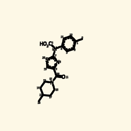 Cc1ccc(N(C(=O)O)c2nc(C(=O)N3CCC(C)CC3)cs2)cc1